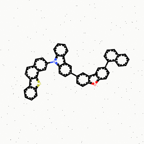 c1ccc2c(-c3ccc4oc5ccc(-c6ccc7c(c6)c6ccccc6n7-c6ccc7ccc8c9ccccc9sc8c7c6)cc5c4c3)cccc2c1